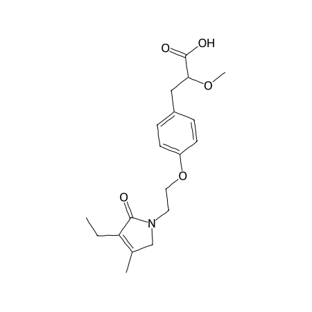 CCC1=C(C)CN(CCOc2ccc(CC(OC)C(=O)O)cc2)C1=O